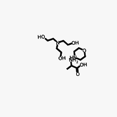 C1COCCN1.CC(N)C(=O)O.OCCN(CCO)CCO